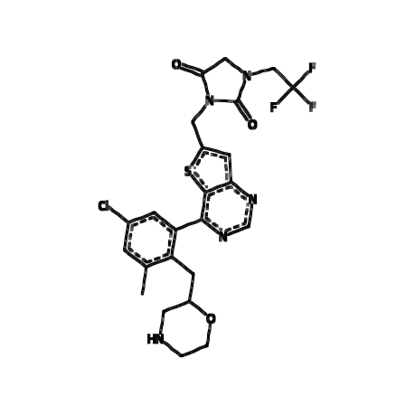 Cc1cc(Cl)cc(-c2ncnc3cc(CN4C(=O)CN(CC(F)(F)F)C4=O)sc23)c1CC1CNCCO1